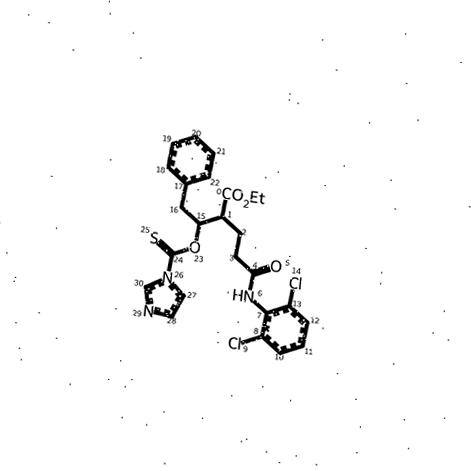 CCOC(=O)C(CCC(=O)Nc1c(Cl)cccc1Cl)C(Cc1ccccc1)OC(=S)n1ccnc1